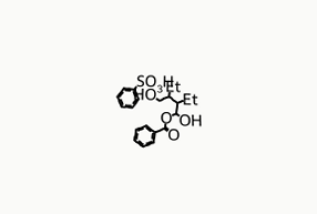 CCC(CO)C(CC)C(O)OC(=O)c1ccccc1.O=S(=O)(O)c1ccccc1